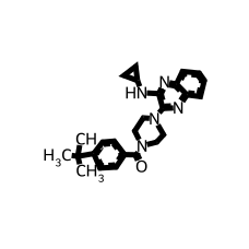 CC(C)(C)c1ccc(C(=O)N2CCN(c3nc4ccccc4nc3NC3CC3)CC2)cc1